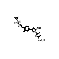 O=C(O)c1csc(-n2nc(-c3ccc(CCNS(=O)(=O)C4CC4)c(F)c3)cc2O)n1